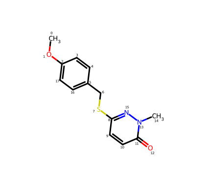 COc1ccc(CSc2ccc(=O)n(C)n2)cc1